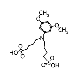 COc1cc(OC)cc(N(CCCCS(=O)(=O)O)CCCCS(=O)(=O)O)c1